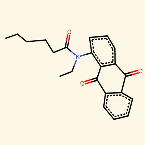 CCCCCC(=O)N(CC)c1cccc2c1C(=O)c1ccccc1C2=O